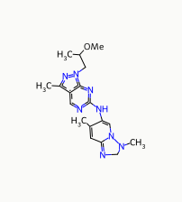 COC(C)Cn1nc(C)c2cnc(NC3=CN4C(=NCN4C)C=C3C)nc21